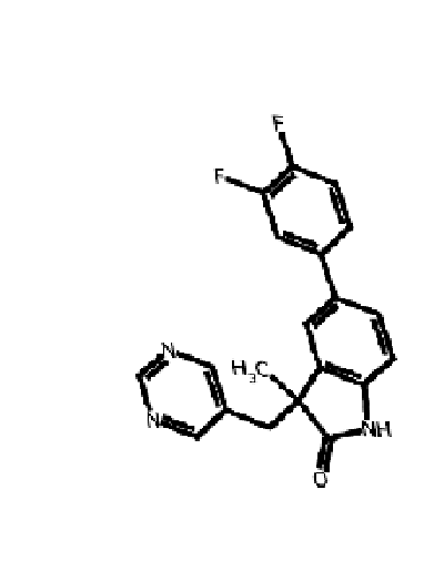 CC1(Cc2cncnc2)C(=O)Nc2ccc(-c3ccc(F)c(F)c3)cc21